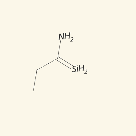 CCC(N)=[SiH2]